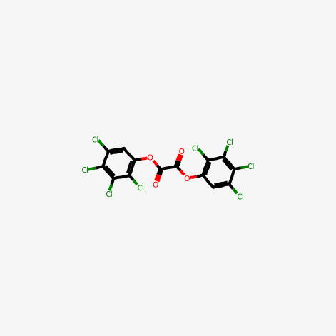 O=C(Oc1cc(Cl)c(Cl)c(Cl)c1Cl)C(=O)Oc1cc(Cl)c(Cl)c(Cl)c1Cl